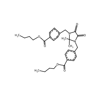 CCCCOC(=O)c1ccc(CN2C(=O)C(=O)N(Cc3ccc(C(=O)OCCCC)cc3)C2(C)C)cc1